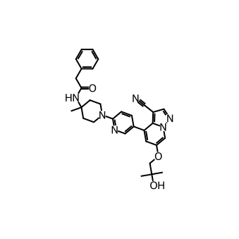 CC(C)(O)COc1cc(-c2ccc(N3CCC(C)(NC(=O)Cc4ccccc4)CC3)nc2)c2c(C#N)cnn2c1